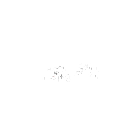 COCCN(C)C(=O)c1cnc(Nc2cc(COc3ccc(NC(=O)Nc4cc(C(C)(C)C)nn4-c4cccc(C)c4)c4ccccc34)ccn2)cn1